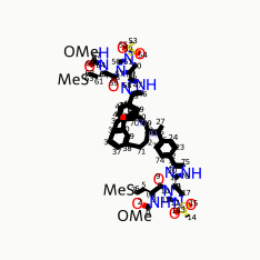 COC(=O)N[C@@H](CCSC)C(=O)N1CN(S(C)(=O)=O)C[C@H]1c1nc(-c2ccc(/C(C)=C3/C=C\[C@H](C)CCc4ccc(cc4-c4ccc(-c5c[nH]c([C@@H]6CN(S(C)(=O)=O)CN6C(=O)[C@H](CCSC)NC(=O)OC)n5)cc4)CC3)cc2)c[nH]1